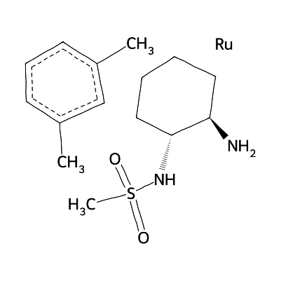 CS(=O)(=O)N[C@@H]1CCCC[C@H]1N.Cc1cccc(C)c1.[Ru]